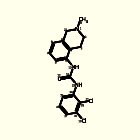 CN1CCc2c(cccc2NC(=O)Nc2cccc(Cl)c2Cl)C1